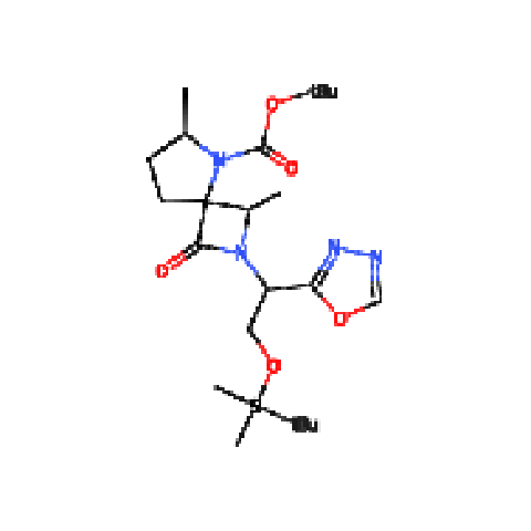 CC1CCC2(C(=O)N(C(CO[Si](C)(C)C(C)(C)C)c3nnco3)C2C)N1C(=O)OC(C)(C)C